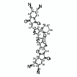 N#Cc1cc2c(cc1C#N)C(=O)C(=Cc1cc3c(s1)-c1sc4cc(C=C5C(=O)c6cc(C#N)c(C#N)cc6C5=O)sc4c1OC31CCCCC1)C2=O